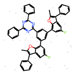 Cc1oc2c(-c3cc(-c4nc(-c5ccccc5)nc(-c5ccccc5)n4)cc(-c4cc(F)cc5c(-c6ccccc6)c(C)oc45)c3)cc(F)cc2c1-c1ccccc1